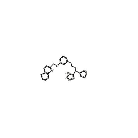 c1ccc(C(CCCc2cccc(OCc3ccc4ccccc4n3)c2)c2nnn[nH]2)cc1